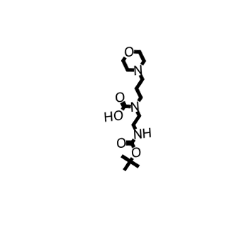 CC(C)(C)OC(=O)NCCN(CCCN1CCOCC1)C(=O)O